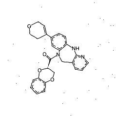 O=C([C@H]1COc2ccccc2O1)N1Cc2cccnc2Nc2ccc(C3=CCOCC3)cc21